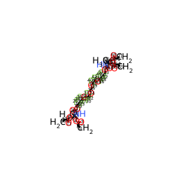 C=CC(=O)OCC(C)(COC(=O)C=C)NC(=O)OCC(F)(F)C(F)(F)C(F)(F)OC(F)C(F)(F)OCCOC(F)(F)C(F)OC(F)(F)C(F)(F)C(F)(F)COC(=O)NC(C)(COC(=O)C=C)COC(=O)C=C